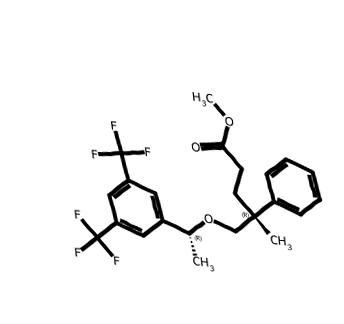 COC(=O)CC[C@@](C)(CO[C@H](C)c1cc(C(F)(F)F)cc(C(F)(F)F)c1)c1ccccc1